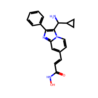 NC(c1c(-c2ccccc2)nc2cc(C=CC(=O)NO)ccn12)C1CC1